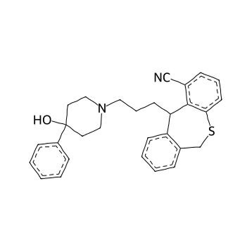 N#Cc1cccc2c1C(CCCN1CCC(O)(c3ccccc3)CC1)c1ccccc1CS2